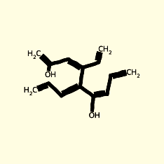 C=C\C=C(O)/C(=C/C=C)C(/C=C)=C\C(=C)O